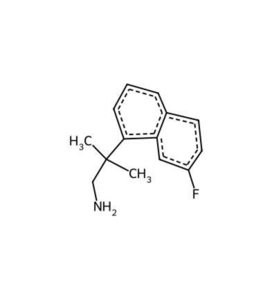 CC(C)(CN)c1cccc2ccc(F)cc12